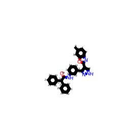 Cc1ccc2nc(-c3c[nH]nc3-c3cccc(NC(=O)C(c4ccccc4)c4ccccc4)c3)oc2c1